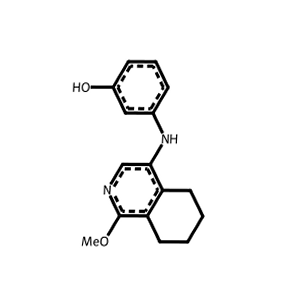 COc1ncc(Nc2cccc(O)c2)c2c1CCCC2